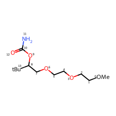 COCCOCCOCC(OC(N)=O)C(C)(C)C